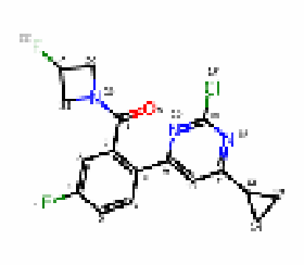 O=C(c1cc(F)ccc1-c1cc(C2CC2)nc(Cl)n1)N1CC(F)C1